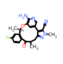 CC1Cc2nn(C)c(C#N)c2-c2cnc(N)c(c2)O[C@H](C)c2cc(F)ccc2C1=O